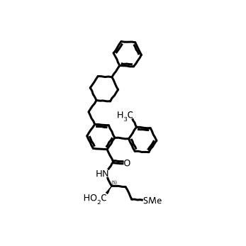 CSCC[C@H](NC(=O)c1ccc(CC2CCC(c3ccccc3)CC2)cc1-c1ccccc1C)C(=O)O